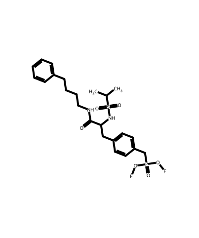 CC(C)S(=O)(=O)NC(Cc1ccc(CP(=O)(OF)OF)cc1)C(=O)NCCCCc1ccccc1